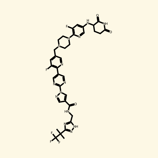 CC(C)(c1n[nH]c(CNC(=O)c2cnn(-c3ncc(-c4ncc(CN5CCN(c6ncc(NC7CCC(=O)NC7=O)cc6F)CC5)cc4F)cn3)c2)n1)C(F)(F)F